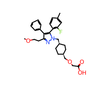 COCCc1nn(C[C@H]2CC[C@@H](COCC(=O)O)CC2)c(-c2ccc(C)cc2F)c1-c1ccccc1